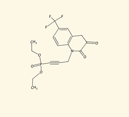 CCOP(=O)(C#CCN1C(=O)C(=O)Cc2cc(C(F)(F)F)ccc21)OCC